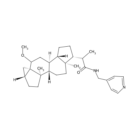 COC1C[C@H]2[C@@H]3CC[C@H](C(C)C(=O)NCc4ccncc4)[C@@]3(C)CC[C@@H]2[C@@]2(C)CC[C@@H]3C[C@@]132